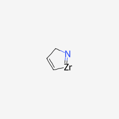 C1=[CH][Zr]=[N]C1